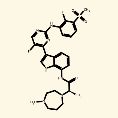 C[C@H](C(=O)Nc1cccc2c(-c3nc(Nc4cccc(S(C)(=O)=O)c4F)ncc3F)c[nH]c12)N1CCCN(C)CC1